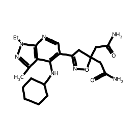 CCn1nc(C)c2c(NC3CCCCC3)c(C3=NOC(CC(N)=O)(CC(N)=O)C3)cnc21